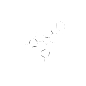 CC[C@@H]1C(C(=O)N[N+]2(C)CCCCC2)=NN(c2ccc(Cl)cc2Cl)[C@@H]1c1ccc(F)cc1.[I-]